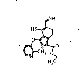 CCOC(=O)c1sc(Oc2cccnc2C)c2c1CCC(C=N)=C2S